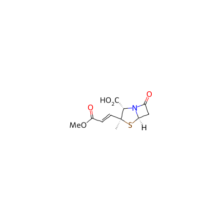 COC(=O)C=C[C@]1(C)S[C@@H]2CC(=O)N2[C@H]1C(=O)O